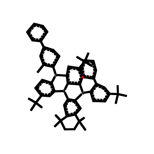 Cc1cc(-c2ccccc2)ccc1N1c2ccc(C(C)(C)C)cc2B2c3cc4c(cc3N(c3ccc(C(C)(C)C)cc3-c3ccccc3)c3cc(C(C)(C)C)cc1c32)C(C)(C)CCC4(C)C